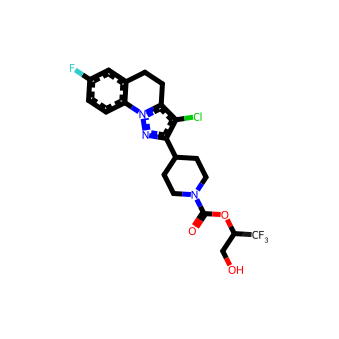 O=C(OC(CO)C(F)(F)F)N1CCC(c2nn3c(c2Cl)CCc2cc(F)ccc2-3)CC1